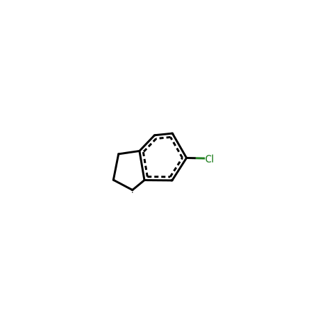 Clc1ccc2c(c1)[CH]CC2